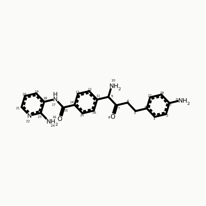 Nc1ccc(CCC(=O)C(N)c2ccc(C(=O)Nc3cccnc3N)cc2)cc1